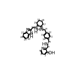 Oc1cccnc1CNCc1ccc(CN[C@H]2CCCC[C@H]2NCc2nc3ccccc3[nH]2)cc1